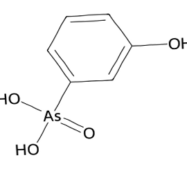 O=[As](O)(O)c1cccc(O)c1